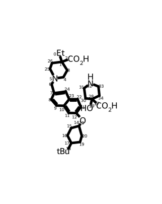 CCC1(C(=O)O)CCN(Cc2ccc3cc(OC4CCC(C(C)(C)C)CC4)ccc3c2)CC1.O=C(O)C1(O)CCNCC1